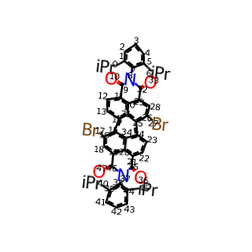 CC(C)c1cccc(C(C)C)c1N1C(=O)c2ccc3c4c(Br)cc5c6c(ccc(c7c(Br)cc(c2c37)C1=O)c64)C(=O)N(c1c(C(C)C)cccc1C(C)C)C5=O